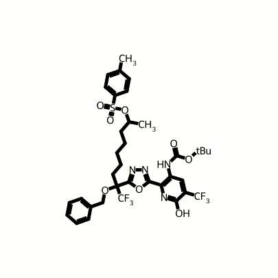 Cc1ccc(S(=O)(=O)OC(C)CCCCCC(OCc2ccccc2)(c2nnc(-c3nc(O)c(C(F)(F)F)cc3NC(=O)OC(C)(C)C)o2)C(F)(F)F)cc1